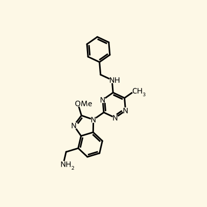 COc1nc2c(CN)cccc2n1-c1nnc(C)c(NCc2ccccc2)n1